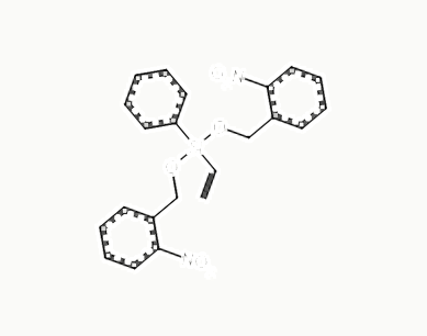 C=C[Si](OCc1ccccc1[N+](=O)[O-])(OCc1ccccc1[N+](=O)[O-])c1ccccc1